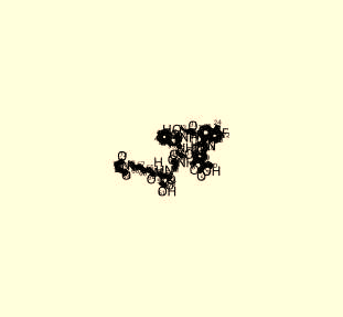 CC[C@@]1(O)C(=O)OCc2c1cc1n(c2=O)Cc2c-1nc1cc(F)c(C)c3c1c2[C@@H](NC(=O)[C@H](CO)NC(=O)[C@H](Cc1ccccc1)NC(=O)CNC(=O)CNC(=O)[C@H](CC(=O)O)NC(=O)CCCCCN1C(=O)C=CC1=O)CC3